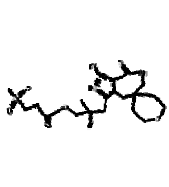 CCn1nc(CC(C)(C)COC(=O)CCS(C)(=O)=O)c2c1C(=O)NCC1(CCOCC1)C2